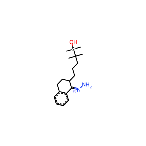 CC(C)(CCCC1CCc2ccccc2/C1=N/N)[Si](C)(C)O